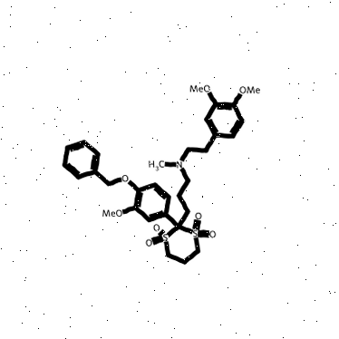 COc1ccc(CCN(C)CCCC2(c3ccc(OCc4ccccc4)c(OC)c3)S(=O)(=O)CCCS2(=O)=O)cc1OC